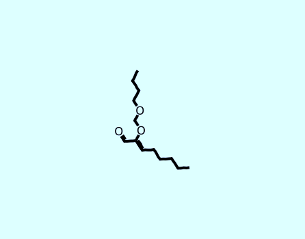 CCCCCC=C(C=O)OCOCCCC